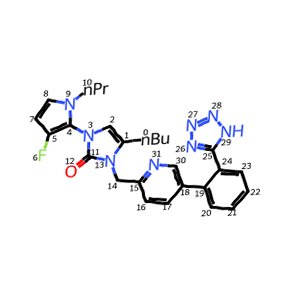 CCCCc1cn(-c2c(F)ccn2CCC)c(=O)n1Cc1ccc(-c2ccccc2-c2nnn[nH]2)cn1